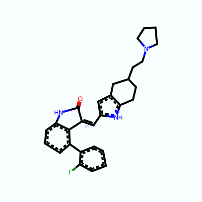 O=C1Nc2cccc(-c3ccccc3F)c2/C1=C/c1cc2c([nH]1)CCC(CCN1CCCC1)C2